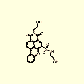 O=c1c2ccc3c4ccccc4oc4c(S(=O)(=O)NCCO)cc(c(=O)n1CCO)c2c43